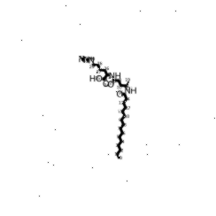 CCCCCCCCCCCCCCCC(=O)N[C@H](C)CCC(=O)NC(CCCCN=[N+]=[N-])C(=O)O